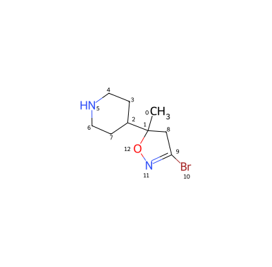 CC1(C2CCNCC2)CC(Br)=NO1